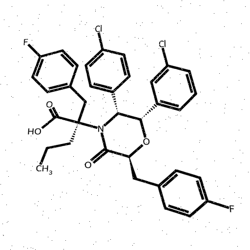 CCC[C@@](Cc1ccc(F)cc1)(C(=O)O)N1C(=O)[C@H](Cc2ccc(F)cc2)O[C@@H](c2cccc(Cl)c2)[C@H]1c1ccc(Cl)cc1